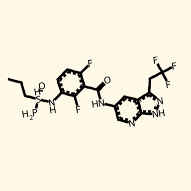 CCC[SH](=O)(P)Nc1ccc(F)c(C(=O)Nc2cnc3[nH]nc(CC(F)(F)F)c3c2)c1F